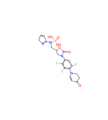 O=C1C=CN(c2c(F)cc(N3CC(CN(C4=NCC=C4)P(=O)(O)O)OC3=O)c(F)c2F)CC1